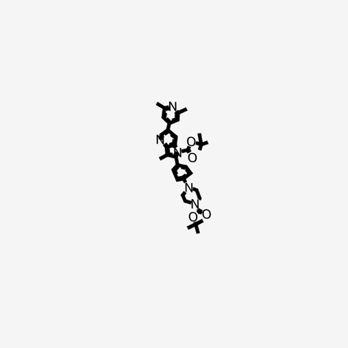 Cc1cc(-c2cnc3c(C)c(-c4ccc(N5CCN(C(=O)OC(C)(C)C)CC5)cc4)n(C(=O)OC(C)(C)C)c3c2)cc(C)n1